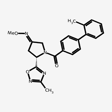 CO/N=C1\C[C@@H](c2nc(C)no2)N(C(=O)c2ccc(-c3ccccc3C)cc2)C1